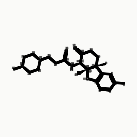 Cc1ccc2c(c1)[C@]1(C)CCC(=O)[C@H](NC(=O)CCN3CCN(C)CC3)[C@@H]1O2